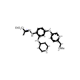 CCOC(=O)/C(C)=N/Nc1ccc(Oc2ccc(COC)nc2)cc1OC1CCOCC1